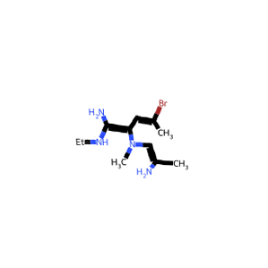 CCN/C(N)=C(/C=C(\C)Br)N(C)/C=C(/C)N